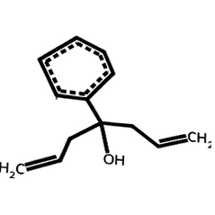 C=CCC(O)(CC=C)c1[c]cccc1